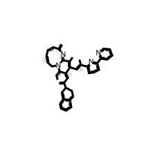 C=C1/C=C\C=C/CN2/C(=N\1)C(C)=C(/C=C(\C)c1cccc(-c3ccccn3)n1)C(=C/C(=C)C1C=c3ccccc3=CC1)/C2=C\C